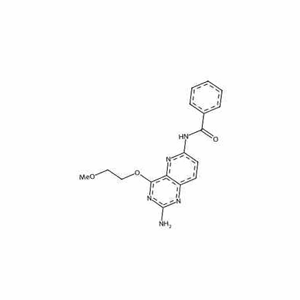 COCCOc1nc(N)nc2ccc(NC(=O)c3ccccc3)nc12